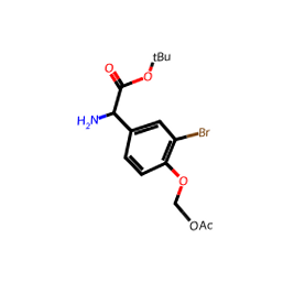 CC(=O)OCOc1ccc(C(N)C(=O)OC(C)(C)C)cc1Br